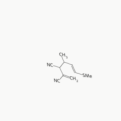 C=C(C#N)C(C#N)C(C)/C=C/SC